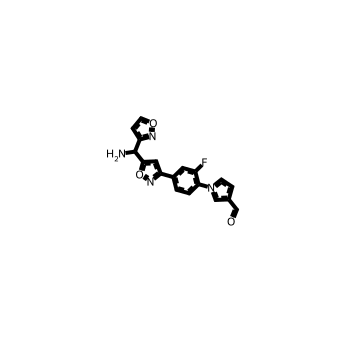 NC(c1ccon1)c1cc(-c2ccc(-n3ccc(C=O)c3)c(F)c2)no1